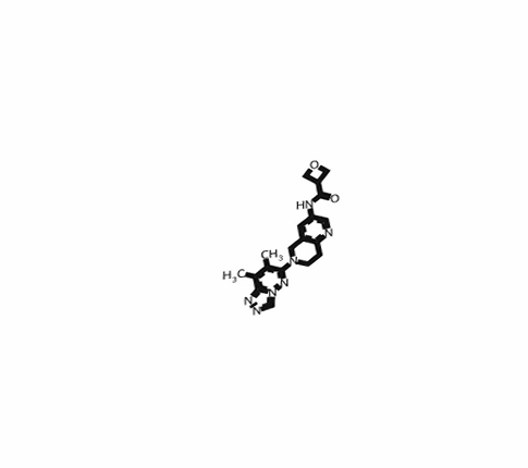 Cc1c(N2CCc3ncc(NC(=O)C4COC4)cc3C2)nn2cnnc2c1C